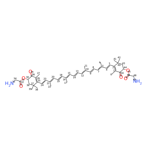 CC1=C(/C=C/C(C)=C/C=C/C(C)=C/C=C/C=C(C)/C=C/C=C(C)/C=C/C2=C(C)C(=O)C(OC(=O)CN)CC2(C)C)C(C)(C)CC(OC(=O)CN)C1=O